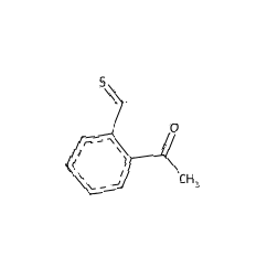 CC(=O)c1ccccc1[C]=S